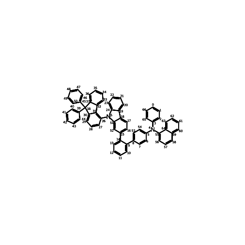 c1ccc(N(c2ccc(-c3ccccc3-c3ccc4c5ccccc5n(-c5cccc6c5-c5ccccc5C6(c5ccccc5)c5ccccc5)c4c3)cc2)c2cccc3ccccc23)cc1